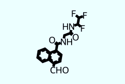 O=Cc1ccc(C(=O)NCC(=O)NC(F)C(F)F)c2ccccc12